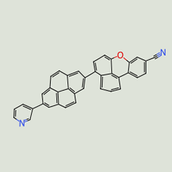 N#Cc1ccc2c(c1)Oc1ccc(-c3cc4ccc5cc(-c6cccnc6)cc6ccc(c3)c4c56)c3cccc-2c13